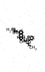 CCCCC[C@H](CC[C@@H]1[C@H]2Cc3cccc(OCC(=O)OC)c3C[C@H]2C[C@H]1O)OC(=O)C1CCCCN1C